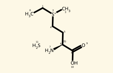 CC[S+](C)CC[C@H](N)C(=O)O.S